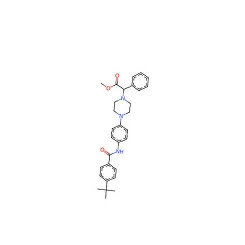 COC(=O)C(c1ccccc1)N1CCN(c2ccc(NC(=O)c3ccc(C(C)(C)C)cc3)cc2)CC1